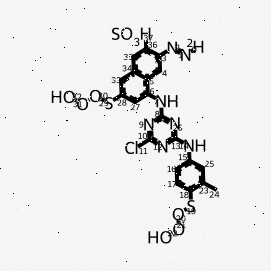 [2H]N=Nc1cc2c(Nc3nc(Cl)nc(Nc4ccc(SOOO)c(C)c4)n3)cc(SOOO)cc2cc1S(=O)(=O)O